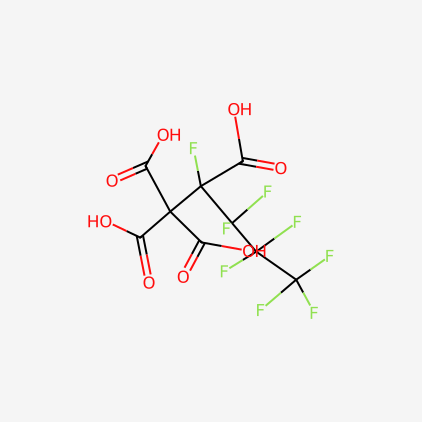 O=C(O)C(C(=O)O)(C(=O)O)C(F)(C(=O)O)C(F)(F)C(F)(F)C(F)(F)F